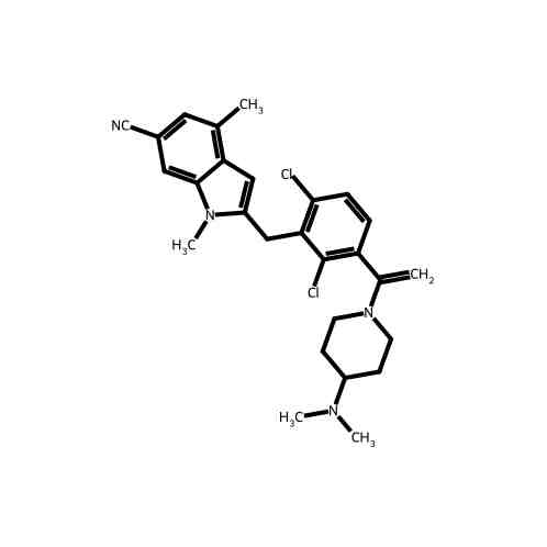 C=C(c1ccc(Cl)c(Cc2cc3c(C)cc(C#N)cc3n2C)c1Cl)N1CCC(N(C)C)CC1